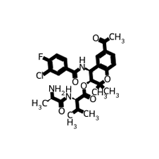 CC(=O)c1ccc2c(c1)[C@H](NC(=O)c1ccc(F)c(Cl)c1)[C@H](OC(=O)[C@@H](NC(=O)[C@H](C)N)C(C)C)C(C)(C)O2